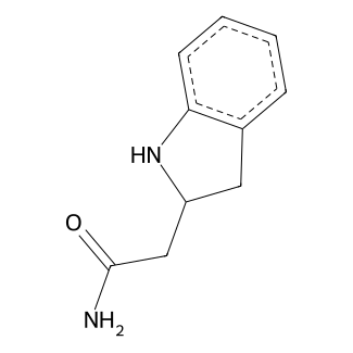 NC(=O)CC1Cc2ccccc2N1